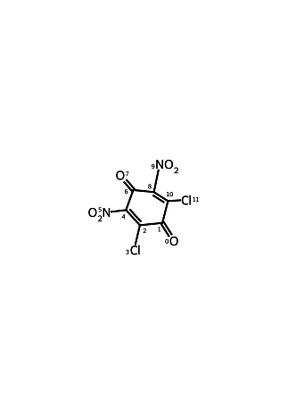 O=C1C(Cl)=C([N+](=O)[O-])C(=O)C([N+](=O)[O-])=C1Cl